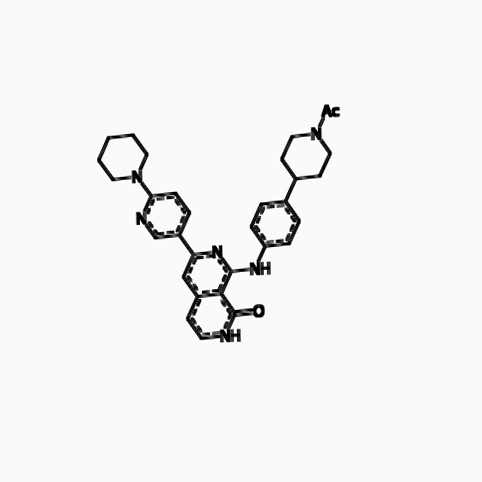 CC(=O)N1CCC(c2ccc(Nc3nc(-c4ccc(N5CCCCC5)nc4)cc4cc[nH]c(=O)c34)cc2)CC1